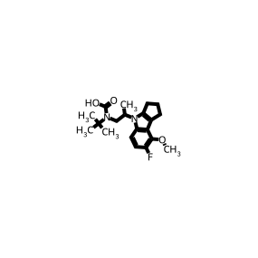 COc1c(F)ccc2c1c1c(n2C(C)CN(C(=O)O)C(C)(C)C)CCC1